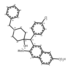 COc1nc2ccc(C(=O)O)cc2cc1C(c1ccc(Cl)cc1)C1(O)CCN(Cc2ccccc2)CC1